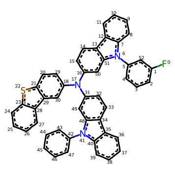 Fc1cccc(-n2c3ccccc3c3ccc(N(c4ccc5sc6ccccc6c5c4)c4ccc5c6ccccc6n(-c6ccccc6)c5c4)cc32)c1